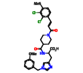 COc1cccc(Cn2cnc(CC(NC(=O)C3CCN(C(=O)C=Cc4ccc(SC)c(Cl)c4Cl)CC3)C(=O)O)c2)c1